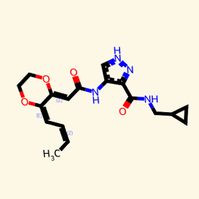 C\C=C/C=C1/OCCO/C1=C\C(=O)Nc1c[nH]nc1C(=O)NCC1CC1